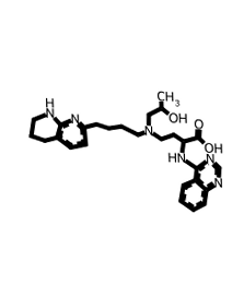 CC(O)CN(CCCCc1ccc2c(n1)NCCC2)CCC(Nc1ncnc2ccccc12)C(=O)O